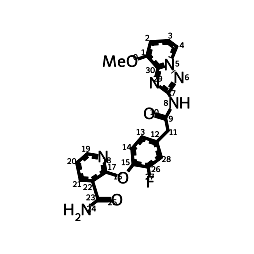 COc1cccn2nc(NC(=O)Cc3ccc(Oc4ncccc4C(N)=O)c(F)c3)nc12